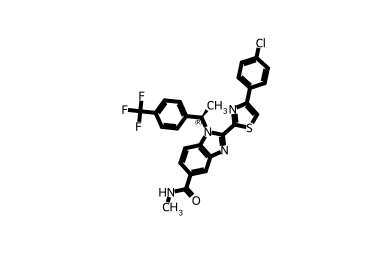 CNC(=O)c1ccc2c(c1)nc(-c1nc(-c3ccc(Cl)cc3)cs1)n2[C@H](C)c1ccc(C(F)(F)F)cc1